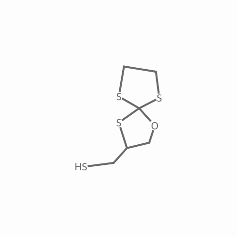 SCC1COC2(SCCS2)S1